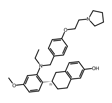 CCN(Cc1ccc(OCCN2CCCC2)cc1)c1cc(OC)ccc1[C@H]1CCc2cc(O)ccc2C1